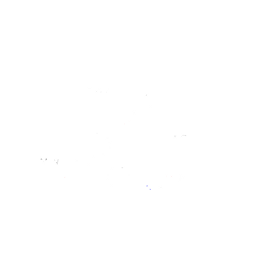 CCCCCC.CCOC(=O)Cc1ccccc1OCc1cc(-c2cccc(CNC(=O)OC(C)(C)C)c2)c2oc(C(=O)NC)cc2c1